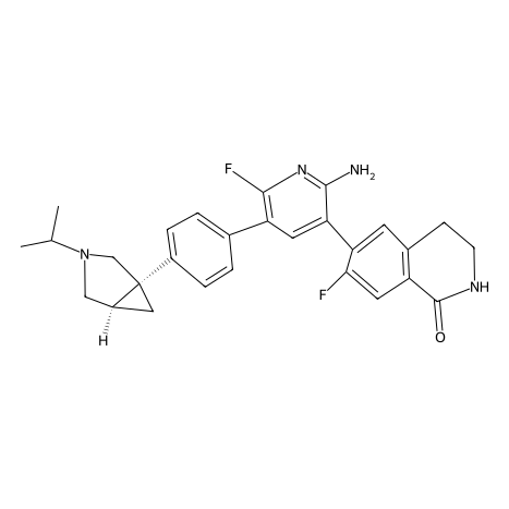 CC(C)N1C[C@@H]2C[C@]2(c2ccc(-c3cc(-c4cc5c(cc4F)C(=O)NCC5)c(N)nc3F)cc2)C1